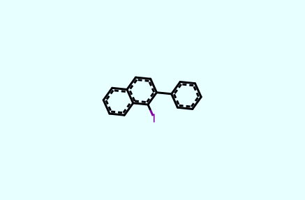 Ic1c(-c2ccccc2)ccc2ccccc12